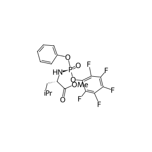 COC(=O)[C@H](CC(C)C)N[P@](=O)(Oc1ccccc1)Oc1c(F)c(F)c(F)c(F)c1F